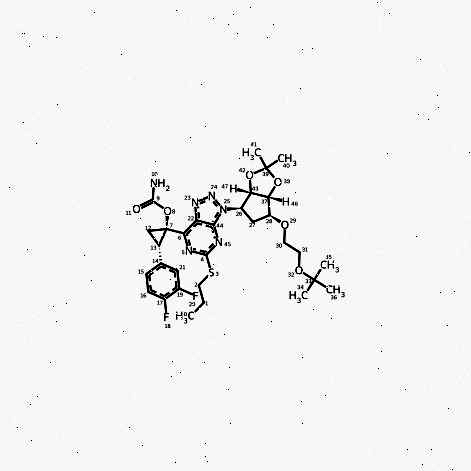 CCCSc1nc([C@@]2(OC(N)=O)C[C@H]2c2ccc(F)c(F)c2)c2nnn([C@@H]3C[C@H](OCCOC(C)(C)C)[C@H]4OC(C)(C)O[C@H]43)c2n1